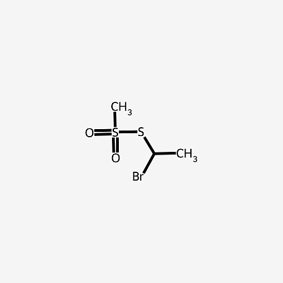 CC(Br)SS(C)(=O)=O